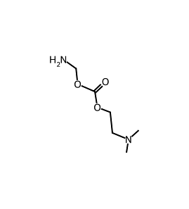 CN(C)CCOC(=O)OCN